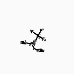 CC(C)(C)CPC(C)(C)C.F[B-](F)(F)F